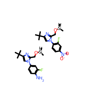 C[SiH](C)OCc1nc(C(C)(C)C)cn1-c1ccc(N)c(F)c1.C[SiH](C)OCc1nc(C(C)(C)C)cn1-c1ccc([N+](=O)[O-])cc1F